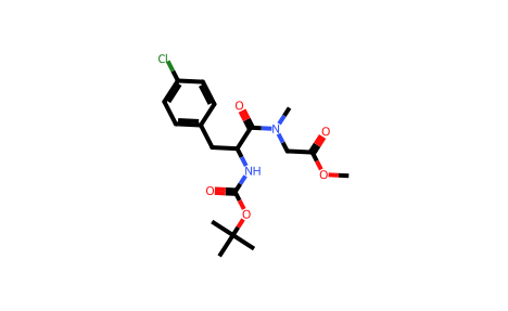 COC(=O)CN(C)C(=O)C(Cc1ccc(Cl)cc1)NC(=O)OC(C)(C)C